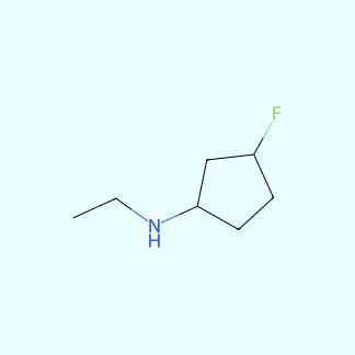 CCNC1CCC(F)C1